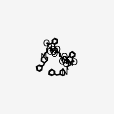 O=C(/C=C/C(=O)OC1c2ccccc2C(=O)N(CCCN2CCC(Cc3ccccc3)CC2)S1(=O)=O)OC1c2ccccc2C(=O)N(CCCN2CCC(Cc3ccccc3)CC2)S1(=O)=O